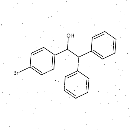 OC(c1ccc(Br)cc1)C(c1ccccc1)c1ccccc1